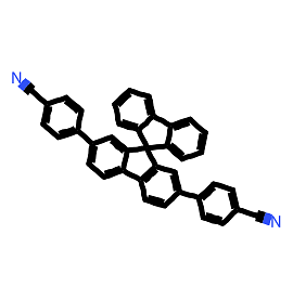 N#Cc1ccc(-c2ccc3c(c2)C2(c4ccccc4-c4ccccc42)c2cc(-c4ccc(C#N)cc4)ccc2-3)cc1